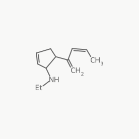 C=C(/C=C\C)C1CC=CC1NCC